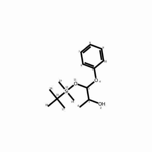 CC(O)C(Oc1ccccc1)O[Si](C)(C)C(C)(C)C